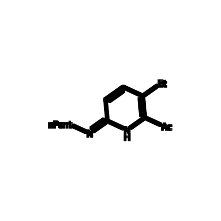 CCCCCN=c1ccc(CC)c(C(C)=O)[nH]1